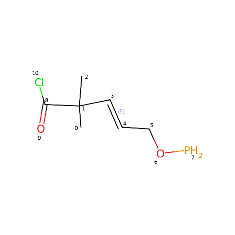 CC(C)(/C=C/COP)C(=O)Cl